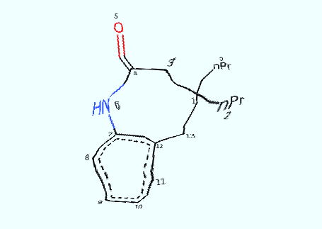 CCCC1(CCC)CC(=O)Nc2ccccc2C1